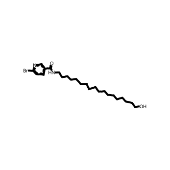 O=C(NCCCCCCCCCCCCCCCCCCO)c1ccc(Br)nc1